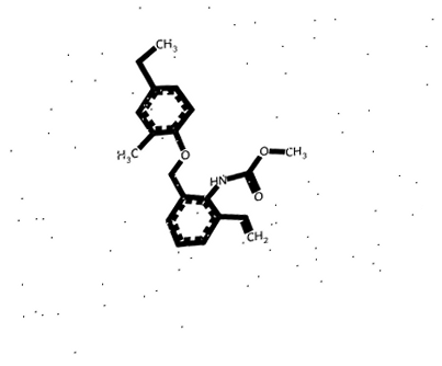 C=Cc1cccc(COc2ccc(CC)cc2C)c1NC(=O)OC